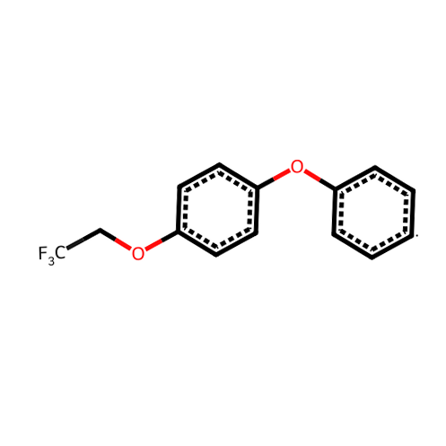 FC(F)(F)COc1ccc(Oc2cc[c]cc2)cc1